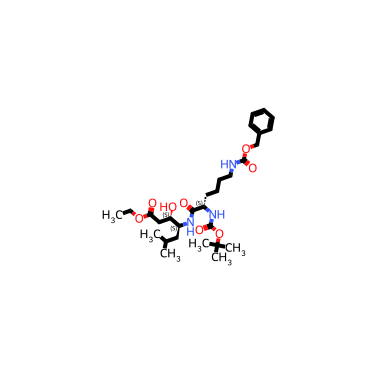 CCOC(=O)C[C@H](O)[C@H](CC(C)C)NC(=O)[C@H](CCCCNC(=O)OCc1ccccc1)NC(=O)OC(C)(C)C